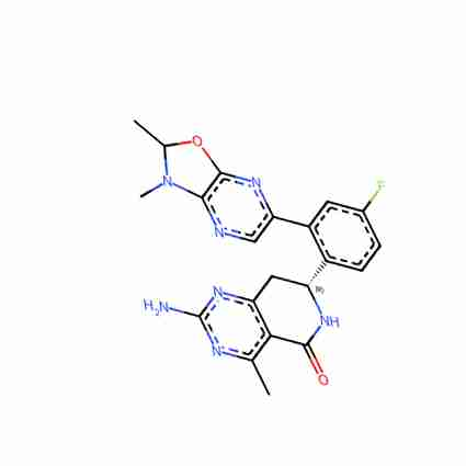 Cc1nc(N)nc2c1C(=O)N[C@@H](c1ccc(F)cc1-c1cnc3c(n1)OC(C)N3C)C2